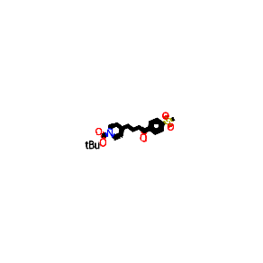 CC(C)(C)OC(=O)N1CCC(CCCC(=O)c2ccc(S(C)(=O)=O)cc2)CC1